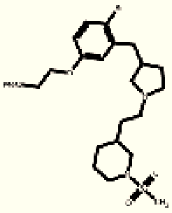 COCCOc1ccc(Br)c(CC2CCN(CCC3CCCN(S(C)(=O)=O)C3)C2)c1